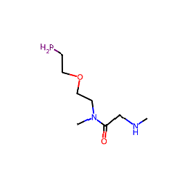 CNCC(=O)N(C)CCOCCP